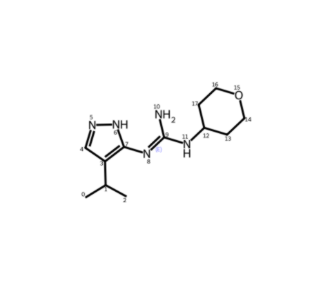 CC(C)c1cn[nH]c1/N=C(\N)NC1CCOCC1